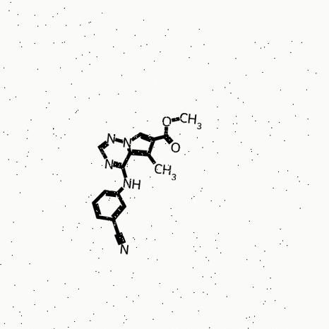 COC(=O)c1cn2ncnc(Nc3cccc(C#N)c3)c2c1C